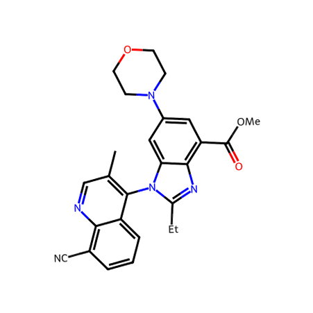 CCc1nc2c(C(=O)OC)cc(N3CCOCC3)cc2n1-c1c(C)cnc2c(C#N)cccc12